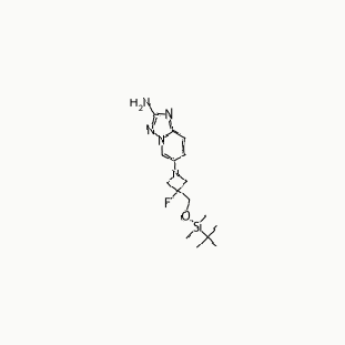 CC(C)(C)[Si](C)(C)OCC1(F)CN(c2ccc3nc(N)nn3c2)C1